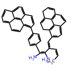 C\C=C/C(=C\c1ccc2ccc3c4c2c1CC=C4CC=C3)C(/N)=C(/N)c1ccc(-c2ccc3ccc4cccc5ccc2c3c45)cc1